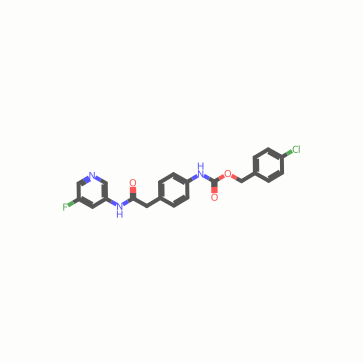 O=C(Cc1ccc(NC(=O)OCc2ccc(Cl)cc2)cc1)Nc1cncc(F)c1